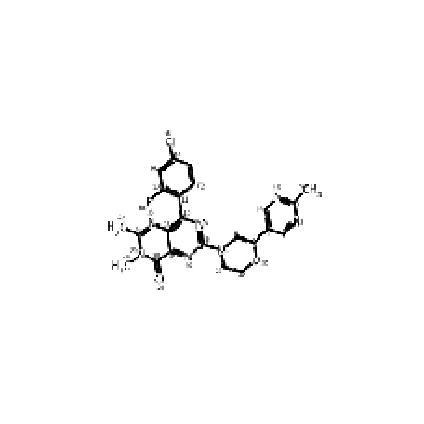 Cc1ncc(C2CN(c3nc(-c4ccc(Cl)cc4F)c4nc(C)n(C)c(=O)c4n3)CCO2)cn1